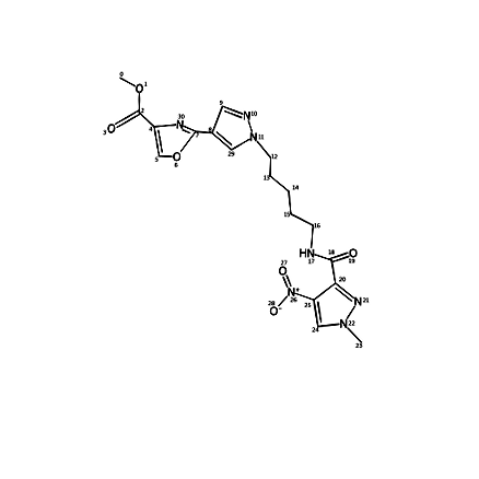 COC(=O)c1coc(-c2cnn(CCCCCNC(=O)c3nn(C)cc3[N+](=O)[O-])c2)n1